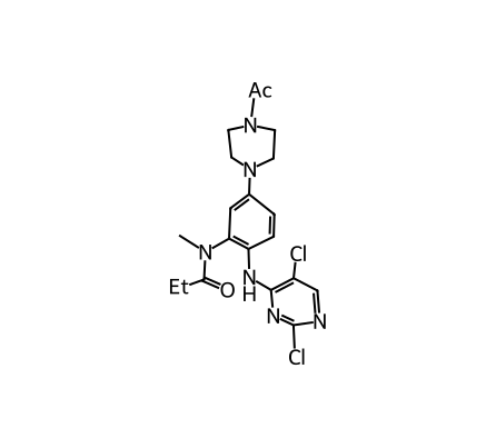 CCC(=O)N(C)c1cc(N2CCN(C(C)=O)CC2)ccc1Nc1nc(Cl)ncc1Cl